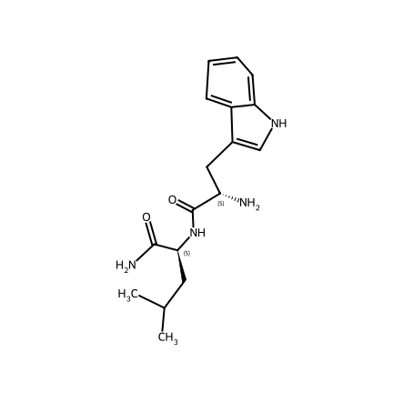 CC(C)C[C@H](NC(=O)[C@@H](N)Cc1c[nH]c2ccccc12)C(N)=O